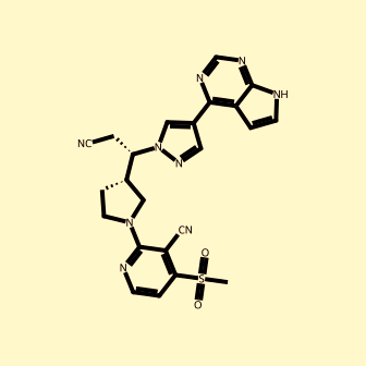 CS(=O)(=O)c1ccnc(N2CC[C@H]([C@H](CC#N)n3cc(-c4ncnc5[nH]ccc45)cn3)C2)c1C#N